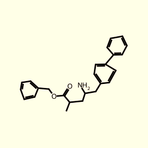 CC(CC(N)Cc1ccc(-c2ccccc2)cc1)C(=O)OCc1ccccc1